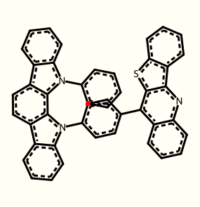 c1ccc(-n2c3ccccc3c3ccc4c5ccccc5n(-c5ccc(-c6c7ccccc7nc7c6sc6ccccc67)cc5)c4c32)cc1